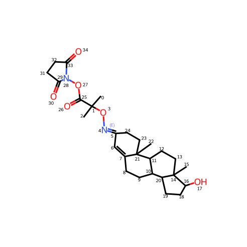 CC(C)(O/N=C1/C=C2CCC3C(CCC4(C)C(O)CCC34)C2(C)CC1)C(=O)ON1C(=O)CCC1=O